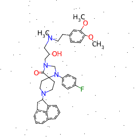 COc1ccc(CCN(C)C[C@H](O)CN2CN(c3ccc(F)cc3)C3(CCN(C4Cc5cccc6cccc4c56)CC3)C2=O)cc1OC